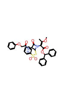 COC(C)=C(C(=O)OC(c1ccccc1)c1ccccc1)N1C(=O)C(NC(=O)COc2ccccc2)C1SS(=O)(=O)c1ccccc1